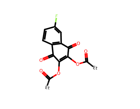 CCC(=O)OC1=C(OC(=O)CC)C(=O)c2cc(F)ccc2C1=O